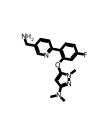 CN(C)c1cc(Oc2cc(F)ccc2-c2ccc(CN)cn2)n(C)n1